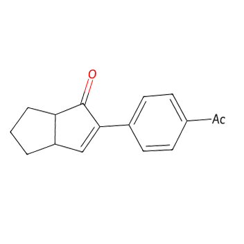 CC(=O)c1ccc(C2=CC3CCCC3C2=O)cc1